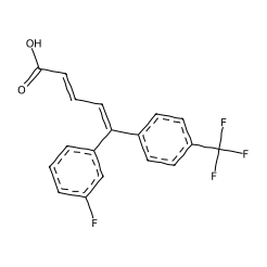 O=C(O)C=CC=C(c1ccc(C(F)(F)F)cc1)c1cccc(F)c1